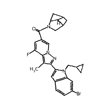 Cc1c(-c2cc3ccc(Br)cc3n2CC2CC2)nn2cc(C(=O)N3CC4CC5CC3[C@H]54)cc(F)c12